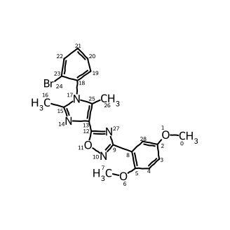 COc1ccc(OC)c(-c2noc(-c3nc(C)n(-c4ccccc4Br)c3C)n2)c1